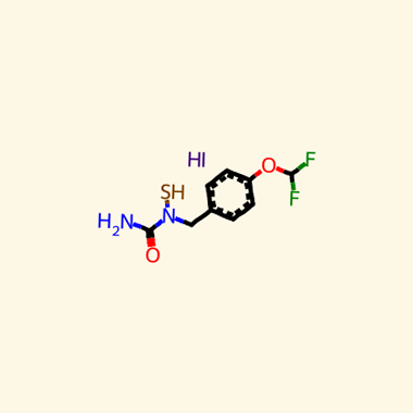 I.NC(=O)N(S)Cc1ccc(OC(F)F)cc1